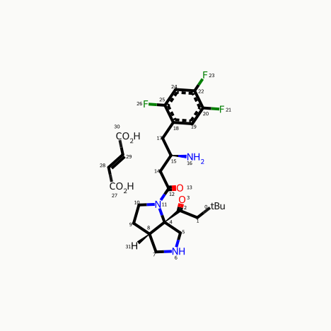 CC(C)(C)CC(=O)[C@@]12CNC[C@@H]1CCN2C(=O)C[C@H](N)Cc1cc(F)c(F)cc1F.O=C(O)/C=C/C(=O)O